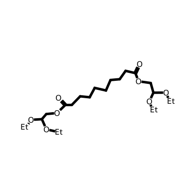 CCOC(COC(=O)CCCCCCCCC(=O)OCC(OCC)OCC)OCC